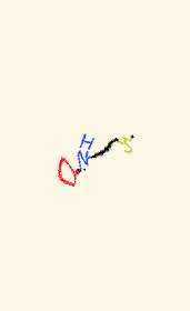 CSCCN[C]=O